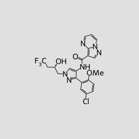 COc1ccc(Cl)cc1-c1nn(C[C@H](O)CC(F)(F)F)cc1NC(=O)c1cnn2cccnc12